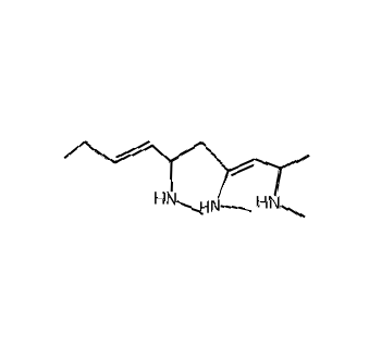 CCC=CC(CC(=CC(C)NC)NC)NC